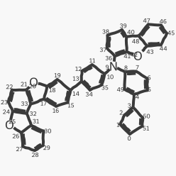 c1ccc(-c2cccc(N(c3ccc(-c4ccc5c(c4)oc4ccc6oc7ccccc7c6c45)cc3)c3cccc4c3oc3ccccc34)c2)cc1